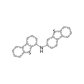 c1ccc2c(c1)sc1cc(Nc3cccc4c3sc3ccccc34)ccc12